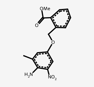 COC(=O)c1ccccc1COc1cc(C)c(N)c([N+](=O)[O-])c1